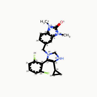 Cn1c(=O)n(C)c2cc(CN3CNC(C4CC4)=C3c3c(F)cccc3F)ccc21